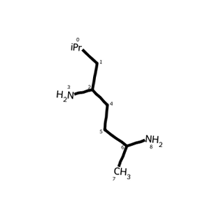 CC(C)CC(N)CCC(C)N